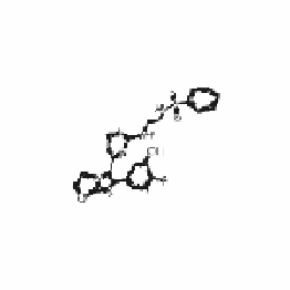 O=S(=O)(NCCNc1nccc(-c2c(-c3ccc(F)c(O)c3)nc3occn23)n1)c1ccccc1